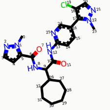 Cn1nccc1C(=O)NC(C(=O)Nc1ccc(-c2c(Cl)cnn2C)cn1)C1CCCCCC1